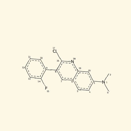 CN(C)c1ccc2cc(-c3ccccc3F)c(Cl)nc2c1